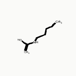 C=C(O)NCCCCC